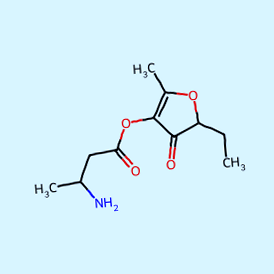 CCC1OC(C)=C(OC(=O)CC(C)N)C1=O